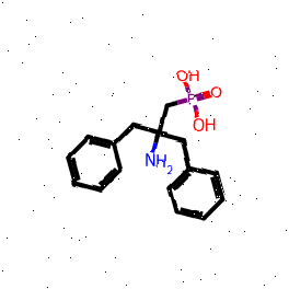 NC(Cc1ccccc1)(Cc1ccccc1)CP(=O)(O)O